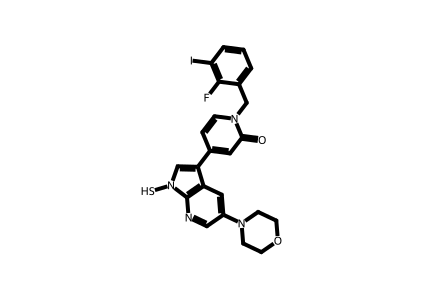 O=c1cc(-c2cn(S)c3ncc(N4CCOCC4)cc23)ccn1Cc1cccc(I)c1F